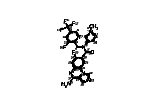 Cn1cc(N(Cc2ncc(C(F)(F)F)cc2F)C(=O)c2cc3c(cc2F)nc(N)c2cncn23)cn1